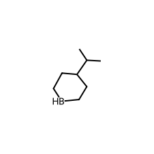 CC(C)C1CCBCC1